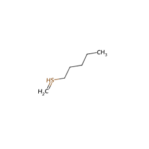 C=[SH]CCCCC